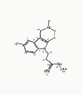 CN1CCc2c(c3cc(F)ccc3n2CCC(=N)NO)C1